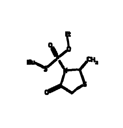 CCOP(=O)(SC(C)CC)N1C(=O)CSC1C